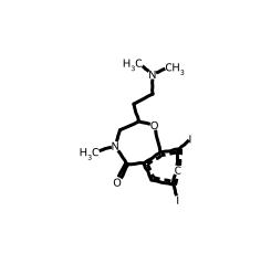 CN(C)CCC1CN(C)C(=O)c2cc(I)cc(I)c2O1